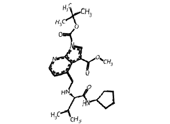 COC(=O)c1cn(C(=O)OC(C)(C)C)c2nccc(CN[C@@H](C(=O)NC3CCCC3)C(C)C)c12